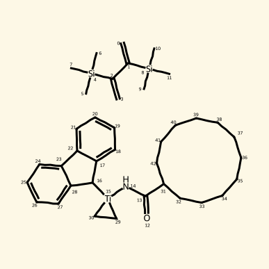 C=C(C(=C)[Si](C)(C)C)[Si](C)(C)C.O=C([NH][Ti]1([CH]2c3ccccc3-c3ccccc32)[CH2][CH2]1)C1CCCCCCCCCCC1